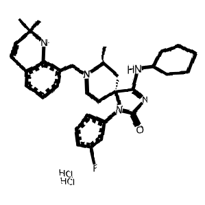 C[C@H]1C[C@]2(CCN1Cc1cccc3c1[N]C(C)(C)C=C3)C(NC1CCCCC1)=NC(=O)N2c1cccc(F)c1.Cl.Cl